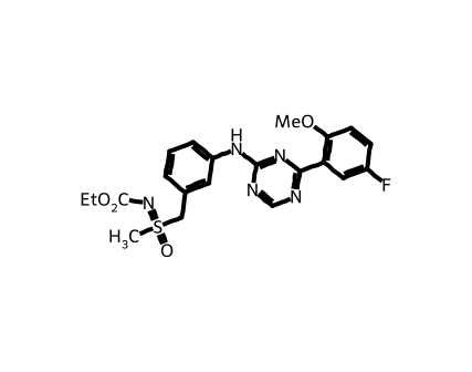 CCOC(=O)N=S(C)(=O)Cc1cccc(Nc2ncnc(-c3cc(F)ccc3OC)n2)c1